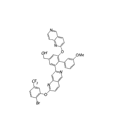 COc1cccc(-c2c(Oc3ccc4cnccc4n3)cc(CO)cc2-c2cc3nc(Oc4cc(C(F)(F)F)ccc4Br)ccc3cn2)c1